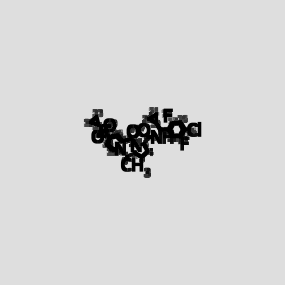 CC[C@@H]1CC[C@H](C(=O)NC(c2cc(F)c(Cl)cc2F)C2CC2)N1C(=O)c1cc(S(=O)(=O)C2CC2)ccn1